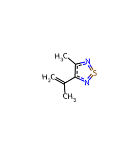 C=C(C)c1nsnc1C